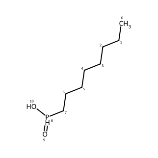 CCCCCCCC[PH](=O)O